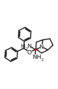 NC(N)N1C2CCC1CC(OC(c1ccccc1)c1ccccc1)C2